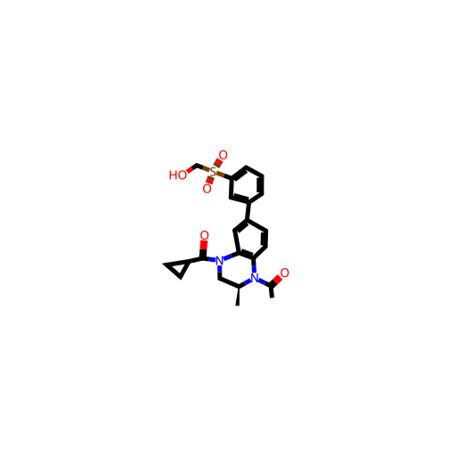 CC(=O)N1c2ccc(-c3cccc(S(=O)(=O)CO)c3)cc2N(C(=O)C2CC2)C[C@@H]1C